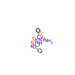 CN1CC(C2=CC=CCC2)C2(CCCN(C(=O)[C@@H](CCc3ccccc3)NC(=O)C(C)(C)N)C2)C1=O